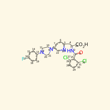 O=C(NC(Cc1ccc(N2CCN(c3ccc(F)cc3)CC2)cn1)C(=O)O)c1c(Cl)cccc1Cl